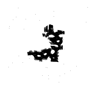 CN(C)C(=N)c1ccc(NC(=O)c2nnnn2-c2ccc3cc(Br)ccc3c2)cc1